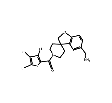 NCc1ccc2c(c1)C1(CCN(C(=O)c3sc(Cl)c(Cl)c3Cl)CC1)CO2